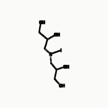 OCC(O)CN(I)CC(O)CO